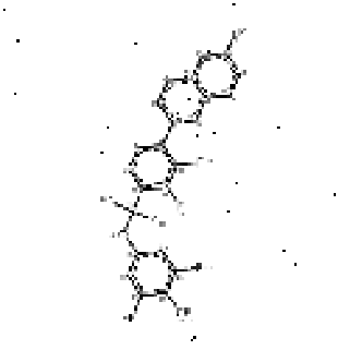 CCCc1ccc2cc(-c3ccc(C(F)(F)Oc4cc(F)c(C(F)(F)F)c(F)c4)c(F)c3F)ccc2c1